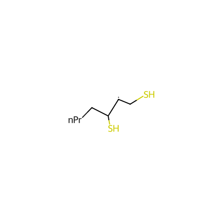 CCCCC(S)[CH]CS